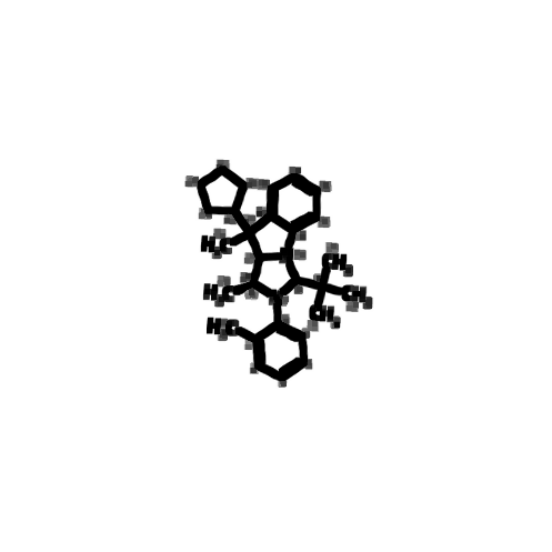 Cc1ccccc1N1C(C(C)(C)C)N2c3ccccc3C(C)(C3CCCC3)C2[C@@H]1C